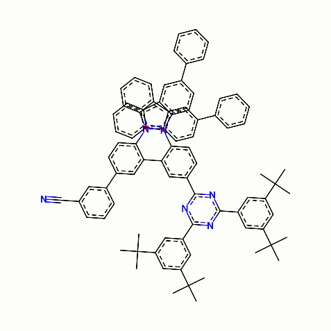 CC(C)(C)c1cc(-c2nc(-c3cc(C(C)(C)C)cc(C(C)(C)C)c3)nc(-c3ccc(-n4c5ccccc5c5cc(-c6ccccc6)ccc54)c(-c4cc(-c5cccc(C#N)c5)ccc4-n4c5ccccc5c5cc(-c6ccccc6)ccc54)c3)n2)cc(C(C)(C)C)c1